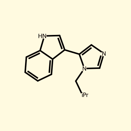 CC(C)Cn1cncc1-c1c[nH]c2ccccc12